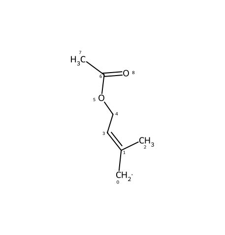 [CH2]C(C)=CCOC(C)=O